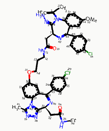 C=C(C)N1/C(=N\N)[C@H](CC(=O)NCCCOc2ccc3c(c2)C(c2ccc(Cl)cc2)=N[C@@H](CC(=O)NCC)c2nnc(C)n2-3)N=C(c2ccc(Cl)cc2)c2cc(OC)ccc21